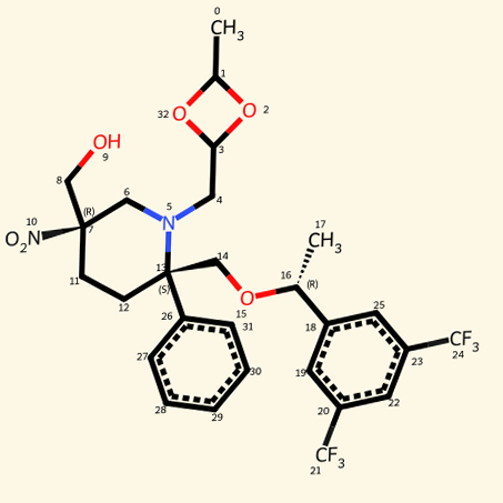 CC1OC(CN2C[C@](CO)([N+](=O)[O-])CC[C@@]2(CO[C@H](C)c2cc(C(F)(F)F)cc(C(F)(F)F)c2)c2ccccc2)O1